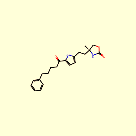 C[C@@]1(CCc2ccc(C(=O)CCCCc3ccccc3)[nH]2)COC(=O)N1